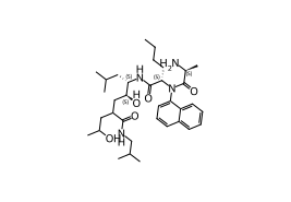 CCCC[C@@H](C(=O)N[C@@H](CC(C)C)[C@@H](O)CC(CC(C)O)C(=O)NCC(C)C)N(C(=O)[C@H](C)N)c1cccc2ccccc12